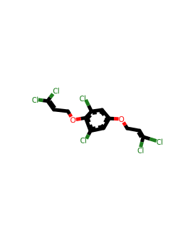 ClC(Cl)=CCOc1cc(Cl)c(OCC=C(Cl)Cl)c(Cl)c1